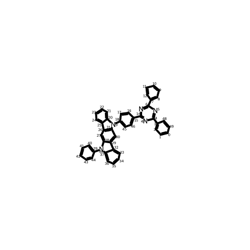 c1ccc(-c2nc(-c3ccccc3)nc(-c3ccc(-n4c5ccccc5c5cc6c(cc54)c4ccccc4n6-c4ccccc4)cc3)n2)cc1